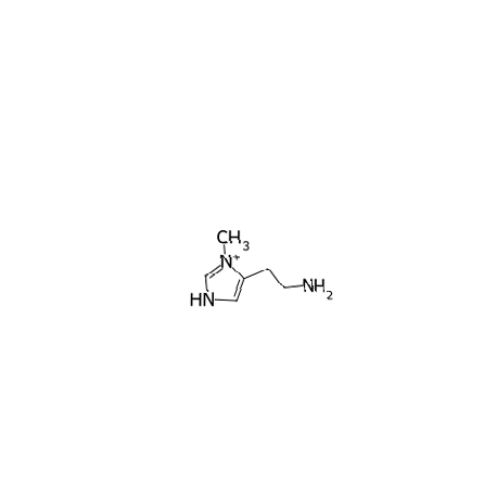 C[n+]1c[nH]cc1CCN